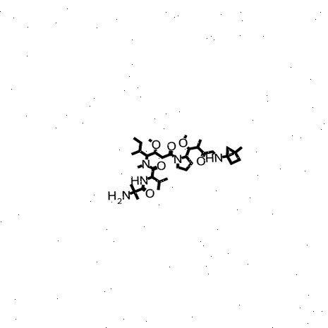 CCC(C)C(C(CC(=O)N1CCCC1C(OC)C(C)C(=O)CNC12CCC1(C)C2)OC)N(C)C(=O)C(NC(=O)C(C)(C)N)C(C)C